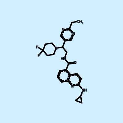 CCc1ncc(C(CNC(=O)c2cccc3nc(NC4CC4)ccc23)N2CCC(F)(F)CC2)cn1